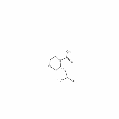 CN(C)C[C@@H]1CNCCN1C(=O)O